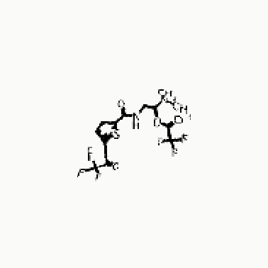 CN(C)C(CNC(=O)c1ccc(C(=O)C(F)(F)F)s1)OC(=O)C(F)(F)F